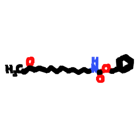 CCC(=O)CCCCCCCCCCCNC(=O)OCc1ccccc1